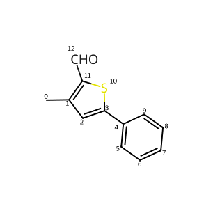 Cc1cc(-c2ccccc2)sc1C=O